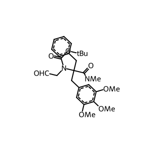 CNC(=O)C(Cc1ccccc1)(Cc1cc(OC)c(OC)c(OC)c1)N(CC=O)C(=O)OC(C)(C)C